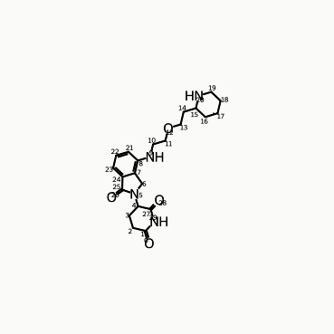 O=C1CCC(N2Cc3c(NCCOCCC4C[CH]CCN4)cccc3C2=O)C(=O)N1